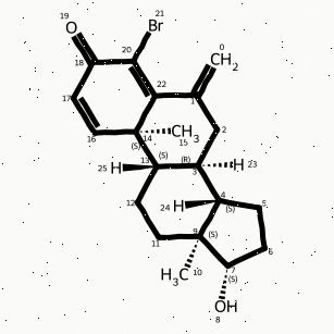 C=C1C[C@H]2[C@@H]3CC[C@H](O)[C@@]3(C)CC[C@@H]2[C@@]2(C)C=CC(=O)C(Br)=C12